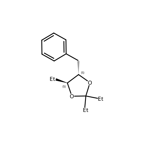 CC[C@@H]1OC(CC)(CC)O[C@H]1Cc1ccccc1